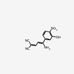 N#CC(C#N)=CC=C(N)c1ccc([N+](=O)[O-])c(O)c1